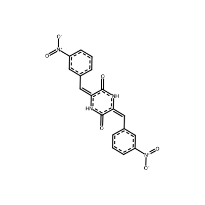 O=c1[nH]c(=Cc2cccc([N+](=O)[O-])c2)c(=O)[nH]c1=Cc1cccc([N+](=O)[O-])c1